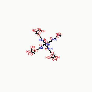 CC1[C@H](OCCCNC(=O)CCC(CCC(=O)NCCCO[C@@H]2OC(CO)[C@H](O)[C@H](O)C2C)(CCC(=O)NCCCO[C@@H]2OC(CO)[C@H](O)[C@H](O)C2C)NC(=O)CCCC(=O)NCCCOP(=O)(O)C(C)C)OC(CO)[C@H](O)[C@@H]1O